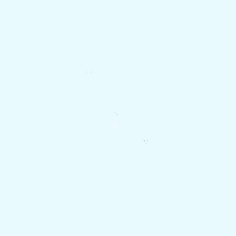 COC1=C(CO/N=C(\C)c2cc(C)cc(C)c2)C=CCC=C1